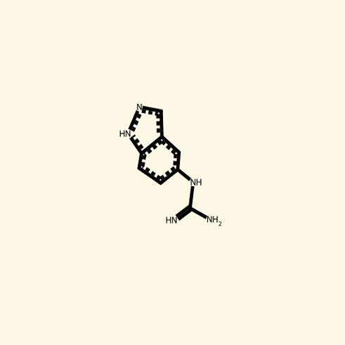 N=C(N)Nc1ccc2[nH]ncc2c1